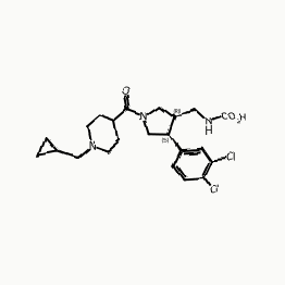 O=C(O)NC[C@@H]1CN(C(=O)C2CCN(CC3CC3)CC2)C[C@@H]1c1ccc(Cl)c(Cl)c1